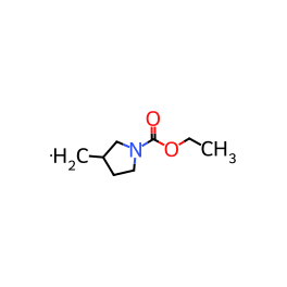 [CH2]C1CCN(C(=O)OCC)C1